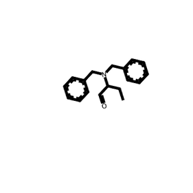 CCC(C=O)N(Cc1ccccc1)Cc1ccccc1